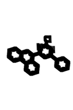 Clc1nc(-c2ccccc2)cc(-c2cc3ccccc3c3ccccc23)n1